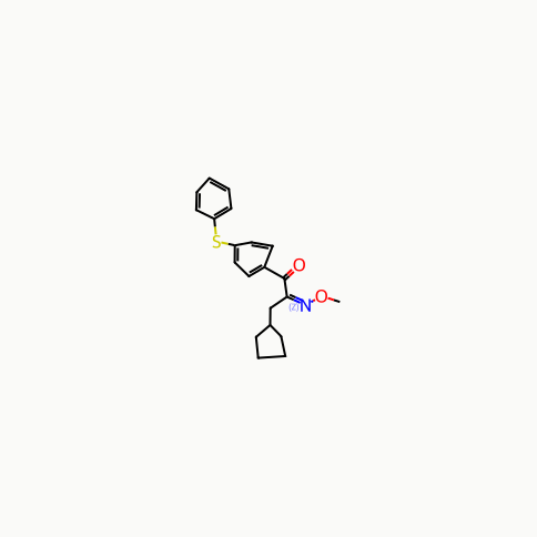 CO/N=C(/CC1CCCC1)C(=O)c1ccc(Sc2ccccc2)cc1